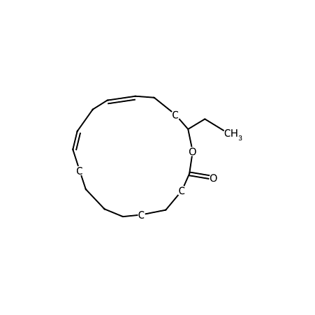 CCC1CC/C=C\C/C=C\CCCCCCCC(=O)O1